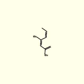 C=C(/C=C(\C=C/C)C(C)(C)C)C(C)(C)C